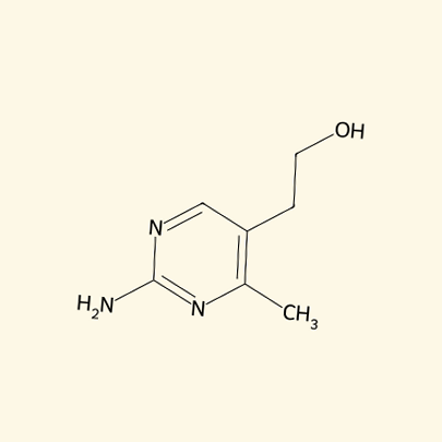 Cc1nc(N)ncc1CCO